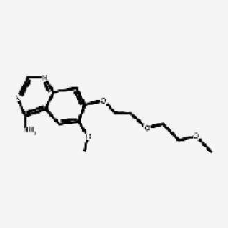 COCCOCCOc1cc2ncnc(N)c2cc1OC